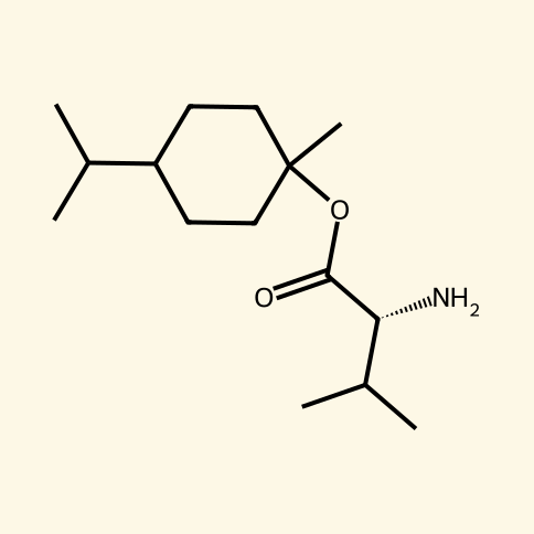 CC(C)C1CCC(C)(OC(=O)[C@H](N)C(C)C)CC1